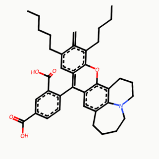 C=c1c(CCCCC)cc2c(c1CCCC)Oc1c(cc3c4c1CCCN4CCCC3)C=2c1ccc(C(=O)O)cc1C(=O)O